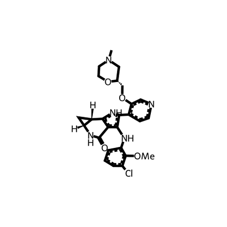 COc1c(Cl)cccc1Nc1c(-c2ccncc2OC[C@H]2CN(C)CCO2)[nH]c2c1C(=O)N[C@@H]1C[C@H]21